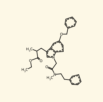 CCOC(=O)C(C)Cc1cn(CC(=O)N(C)CCc2ccccc2)c2ccc(OCc3ccccc3)cc12